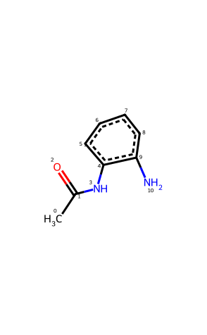 CC(=O)Nc1[c]cccc1N